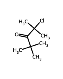 CC(C)(C)C(=O)C(C)(C)Cl